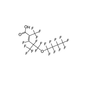 O=C(O)C(=C(F)C(F)(C(F)(F)F)C(F)(F)OC(F)(F)C(F)(F)C(F)(F)C(F)(F)F)C(F)(F)F